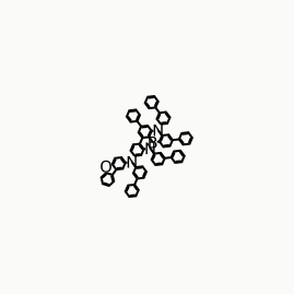 c1ccc(-c2cccc(N3B4c5ccc(-c6ccccc6)cc5N(c5cccc(-c6ccccc6)c5)c5cc(-c6ccccc6)cc(c54)-c4ccc(N(c5cccc(-c6ccccc6)c5)c5ccc6oc7ccccc7c6c5)cc43)c2)cc1